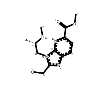 COC(=O)c1ccc2nc(CCl)n(C[C@H](C)OC)c2n1